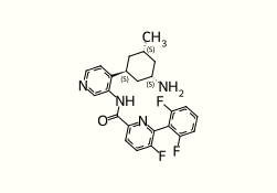 C[C@@H]1C[C@H](N)C[C@@H](c2ccncc2NC(=O)c2ccc(F)c(-c3c(F)cccc3F)n2)C1